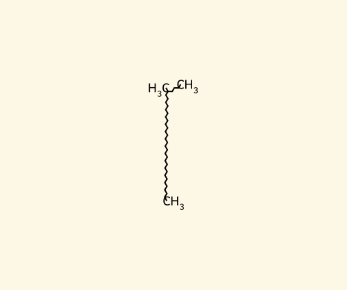 CCCCCCCCCCCCCCCCCCCCCCCCCCCCCCC(C)CCCC